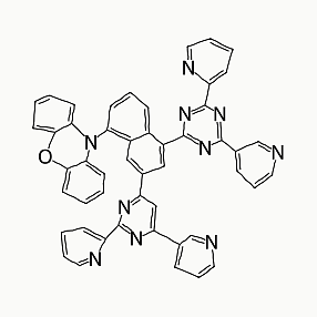 c1ccc(-c2nc(-c3cccnc3)cc(-c3cc(-c4nc(-c5cccnc5)nc(-c5ccccn5)n4)c4cccc(N5c6ccccc6Oc6ccccc65)c4c3)n2)nc1